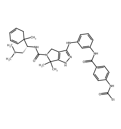 CCC(=O)Nc1ccc(C(=O)Nc2cccc(Nc3n[nH]c4c3CN(C(=O)N[C@H](CN(C)C)C3(C)C=CC=CC3)C4(C)C)c2)cc1